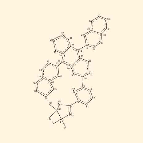 CC1(C)N=C(c2cccc(-c3ccc4c(-c5ccc6ccccc6c5)c5ccccc5c(-c5ccc6ccccc6c5)c4c3)n2)SC1(C)C